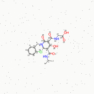 CC(C)NC(=O)c1cn(Cc2ccccc2Cl)c(=O)c(C(=O)NCC(=O)O)c1O